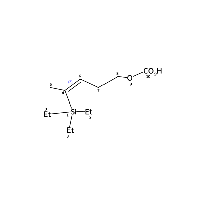 CC[Si](CC)(CC)/C(C)=C\CCOC(=O)O